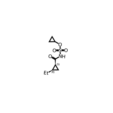 CC[C@@H]1C[C@@H]1C(=O)NS(=O)(=O)OC1CC1